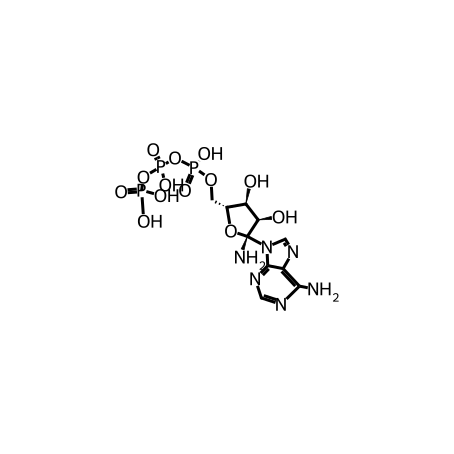 Nc1ncnc2c1ncn2[C@]1(N)O[C@H](COP(=O)(O)OP(=O)(O)OP(=O)(O)O)[C@@H](O)[C@H]1O